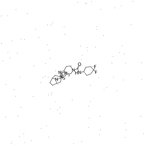 CN1CC2CCC(C1)N2c1nc2c(s1)CN(C(=O)NC1CCC(F)(F)CC1)CC2